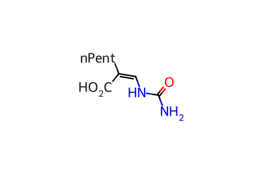 CCCCCC(=CNC(N)=O)C(=O)O